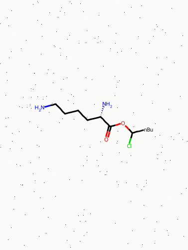 CCCCC(Cl)OC(=O)[C@@H](N)CCCCN